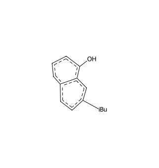 CCC(C)c1ccc2cccc(O)c2c1